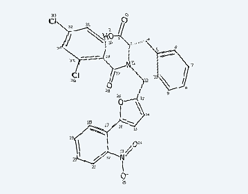 O=C(O)[C@H](Cc1ccccc1)N(Cc1ccc(-c2ccccc2[N+](=O)[O-])o1)C(=O)c1ccc(Cl)cc1Cl